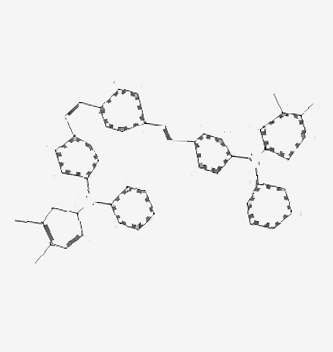 CC1=C(C)CC(N(c2ccccc2)c2ccc(/C=C\c3ccc(C=Cc4ccc(N(c5ccccc5)c5ccc(C)c(C)c5)cc4)cc3)cc2)C=C1